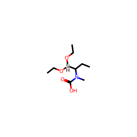 CCO[SiH](OCC)C(CC)N(C)C(=O)O